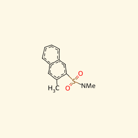 CNS(=O)(=O)c1cc2ccccc2cc1C